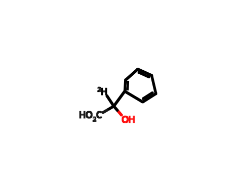 [2H]C(O)(C(=O)O)c1ccccc1